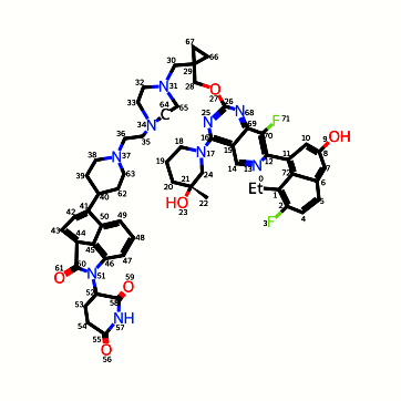 CCc1c(F)ccc2cc(O)cc(-c3ncc4c(N5CCC[C@@](C)(O)C5)nc(OCC5(CN6CCN(CCN7CCC(c8ccc9c%10c(cccc8%10)N(C8CCC(=O)NC8=O)C9=O)CC7)CC6)CC5)nc4c3F)c12